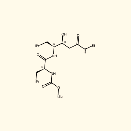 CCNC(=O)C[C@H](O)[C@H](CC(C)C)NC(=O)[C@H](CC(C)C)NC(=O)OC(C)(C)C